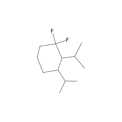 CC(C)C1CCCC(F)(F)C1C(C)C